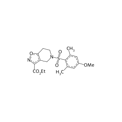 CCOC(=O)c1noc2c1CN(S(=O)(=O)c1c(C)cc(OC)cc1C)CC2